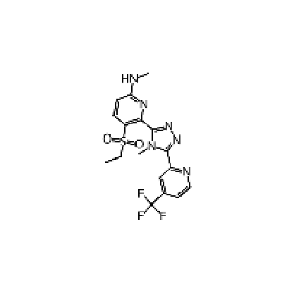 CCS(=O)(=O)c1ccc(NC)nc1-c1nnc(-c2cc(C(F)(F)F)ccn2)n1C